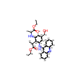 CCOC(=O)C(C)Nc1cc(CO)cc(Nc2c3ccccc3nc3ccccc23)c1C(C)C(=O)OCC